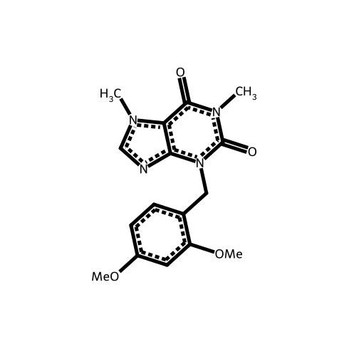 COc1ccc(Cn2c(=O)n(C)c(=O)c3c2ncn3C)c(OC)c1